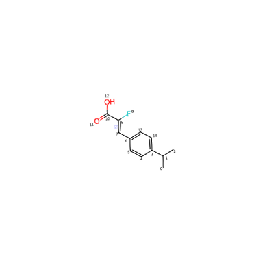 CC(C)c1ccc(/C=C(\F)C(=O)O)cc1